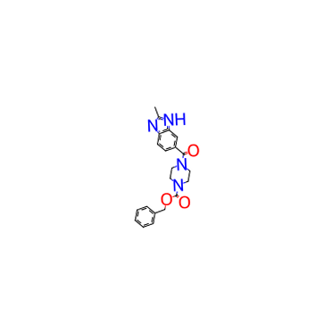 Cc1nc2ccc(C(=O)N3CCN(C(=O)OCc4ccccc4)CC3)cc2[nH]1